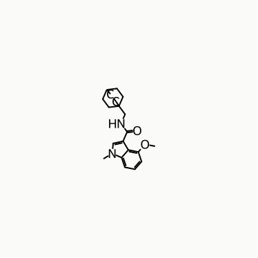 COc1cccc2c1c(C(=O)NCC13CCC(CC1)CC3)cn2C